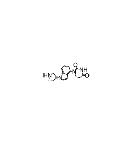 O=C1CCN(c2cccc3c2ccn3[C@H]2CCNC2)C(=O)N1